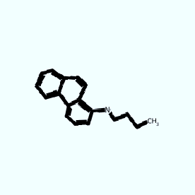 CCCC[N]c1cccc2c1ccc1ccccc12